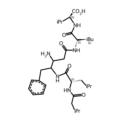 CC[C@H](C)[C@H](NC(=O)CC(N)C(Cc1ccccc1)NC(=O)[C@H](CC(C)C)NC(=O)CC(C)C)C(=O)N[C@H](C(=O)O)C(C)C